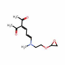 CC(=O)C(=C/C=C/N(C)CCOC1CO1)C(C)=O